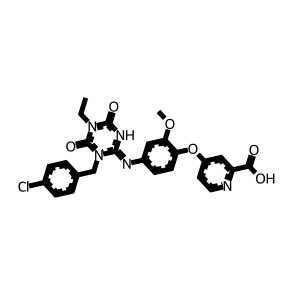 CCn1c(=O)[nH]/c(=N\c2ccc(Oc3ccnc(C(=O)O)c3)c(OC)c2)n(Cc2ccc(Cl)cc2)c1=O